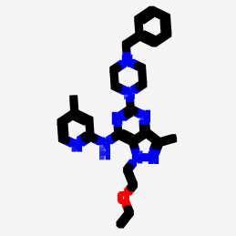 CCOCCn1nc(C)c2nc(N3CCN(Cc4ccccc4)CC3)nc(Nc3cc(C)ccn3)c21